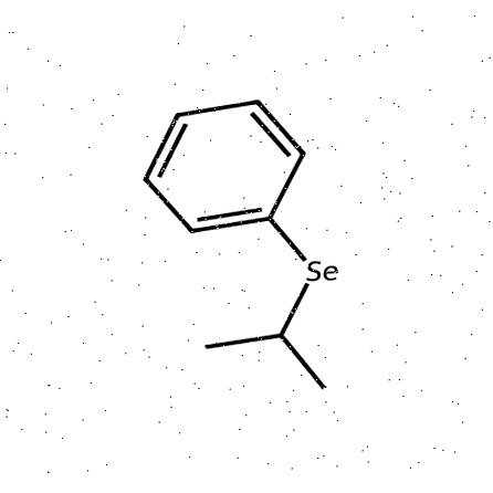 CC(C)[Se]c1ccccc1